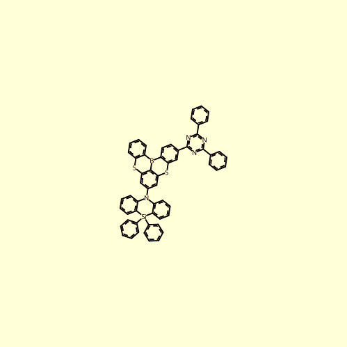 c1ccc(-c2nc(-c3ccccc3)nc(-c3ccc4c(c3)Sc3cc(N5c6ccccc6[Si](c6ccccc6)(c6ccccc6)c6ccccc65)cc5c3B4c3ccccc3S5)n2)cc1